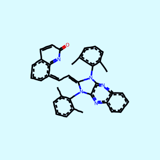 Cc1cccc(C)c1N1C(=C/C=c2/cccc3c2=NC(=O)C=C3)N(c2c(C)cccc2C)c2nc3ccccc3nc21